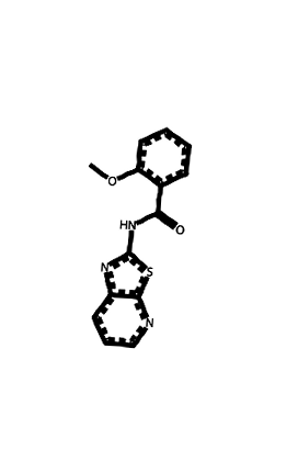 COc1ccccc1C(=O)Nc1nc2cccnc2s1